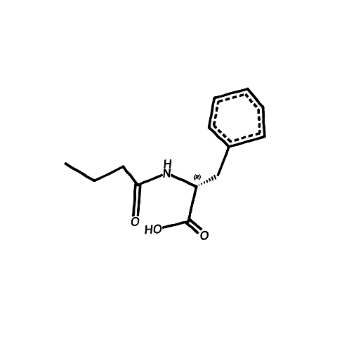 CCCC(=O)N[C@H](Cc1ccccc1)C(=O)O